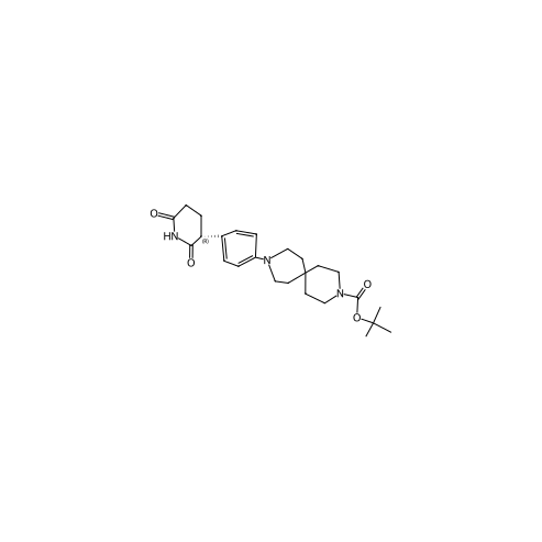 CC(C)(C)OC(=O)N1CCC2(CC1)CCN(c1ccc([C@H]3CCC(=O)NC3=O)cc1)CC2